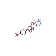 Brc1ccc([C@H]2CC(Oc3cccnc3)=NO2)cc1